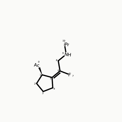 CC(=O)[C@@H]1CCC/C1=C(\F)CNC(C)C